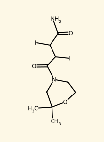 CC1(C)CN(C(=O)C(I)C(I)C(N)=O)CCO1